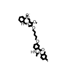 COc1c(OCCCCCOc2ccc3c(c2)C(=O)N(c2ccc(I)cc2C)C(C)N3)cn2c1C=[N+]([O-])C1=CCCC[C@H]1C2